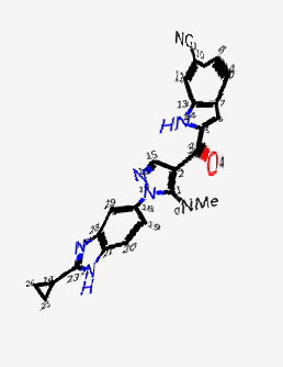 CNc1c(C(=O)c2cc3ccc(C#N)cc3[nH]2)cnn1-c1ccc2[nH]c(C3CC3)nc2c1